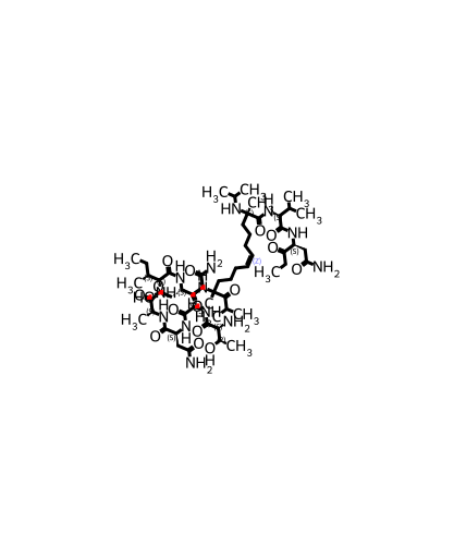 CCC(=O)[C@H](CC(N)=O)NC(=O)[C@@H](NC(=O)[C@](C)(CCC/C=C\CCCC(C)(NC(=O)[C@H](CC(=O)O)NC(=O)[C@@H](NC(=O)[C@H](C)NC(=O)[C@H](CC(N)=O)NC(=O)[C@H](CCC(N)=O)NC(=O)[C@@H](N)[C@@H](C)O)[C@@H](C)CC)C(=O)C(C)C)NC(C)C)C(C)C